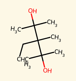 CCC(C)(C(C)(C)O)C(C)(C)O